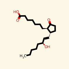 CCCCC[C@H](O)/C=C/[C@H]1CCC(=O)[C@@H]1CCCCCCC(=O)O